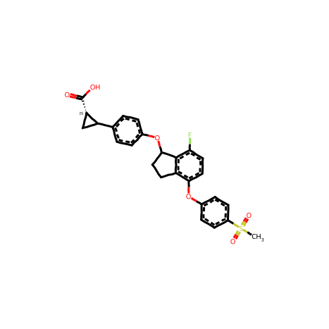 CS(=O)(=O)c1ccc(Oc2ccc(F)c3c2CCC3Oc2ccc(C3C[C@@H]3C(=O)O)cc2)cc1